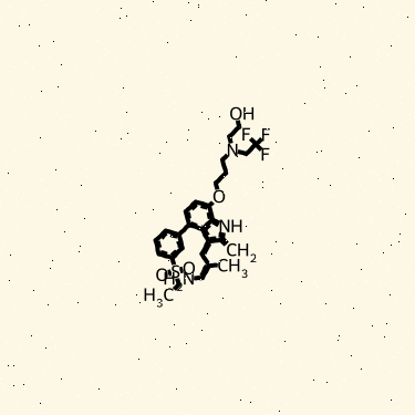 C=c1[nH]c2c(OCCCN(CCO)CC(F)(F)F)ccc(-c3cccc(S(=O)(=O)CC)c3)c2/c1=C/C(C)=C\N